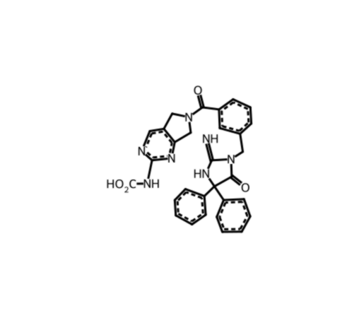 N=C1NC(c2ccccc2)(c2ccccc2)C(=O)N1Cc1cccc(C(=O)N2Cc3cnc(NC(=O)O)nc3C2)c1